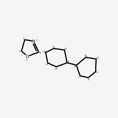 C1=NCCO1.C1CCC(C2CCCCC2)CC1